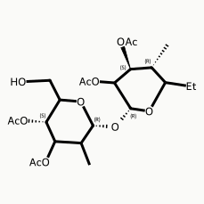 CCC1O[C@H](O[C@H]2OC(CO)[C@@H](OC(C)=O)C(OC(C)=O)C2C)C(OC(C)=O)[C@@H](OC(C)=O)[C@@H]1C